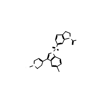 CC(=O)N1CCc2ccc(S(=O)(=O)n3cc(C4=CCN(C)CC4)c4cc(F)ccc43)cc21